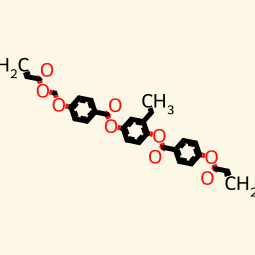 C=CC(=O)OCOc1ccc(C(=O)Oc2ccc(OC(=O)c3ccc(OC(=O)C=C)cc3)c(CC)c2)cc1